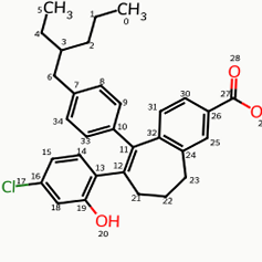 CCCC(CC)Cc1ccc(C2=C(c3ccc(Cl)cc3O)CCCc3cc(C(=O)O)ccc32)cc1